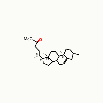 COC(=O)CC[C@@H](C)[C@H]1CCC2C3CC=C4CC(C)CC[C@]4(C)C3CC[C@@]21C